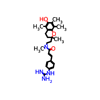 Cc1c(C)c2c(c(C)c1O)CCC(C)(CCN(C)C(=O)C=Cc1ccc(NC(=N)N)cc1)O2